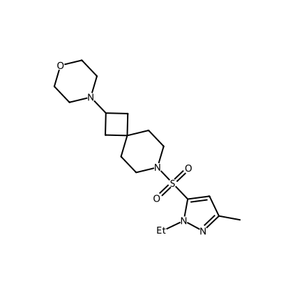 CCn1nc(C)cc1S(=O)(=O)N1CCC2(CC1)CC(N1CCOCC1)C2